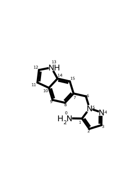 Nc1ccnn1Cc1ccc2cc[nH]c2c1